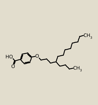 CCCCCCCCC(CCCC)CCCOc1ccc(C(=O)O)cc1